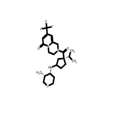 CC(C)[C@]1(C(=O)N2CCn3c(cc(C(F)(F)F)cc3=O)C2)CCC(N[C@@H]2CCOC[C@@H]2C)C1